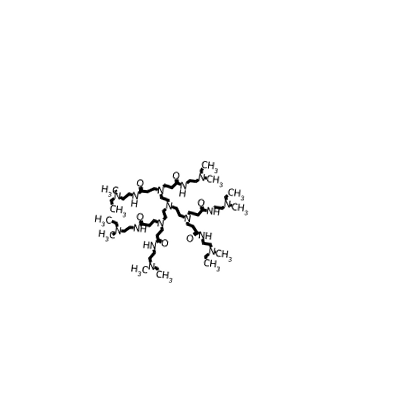 CCN(C)CCNC(=O)CCN(CCC(=O)NCCN(C)CC)CCN(CCN(CCC(=O)NCCN(C)CC)CCC(=O)NCCN(C)CC)CCN(CCC(=O)NCCN(C)CC)CCC(=O)NCCN(C)CC